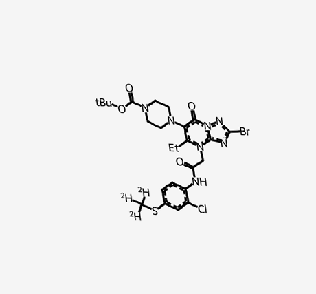 [2H]C([2H])([2H])Sc1ccc(NC(=O)Cn2c(CC)c(N3CCN(C(=O)OC(C)(C)C)CC3)c(=O)n3nc(Br)nc23)c(Cl)c1